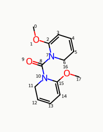 COC1=CC=CCN1C(=O)N1CC=CC=C1OC